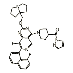 O=C(C1CCN(c2nc(OCC34CCCN3CCC4)nc3c(F)c(-c4cccc5cccc(F)c45)ncc23)CC1)n1cccn1